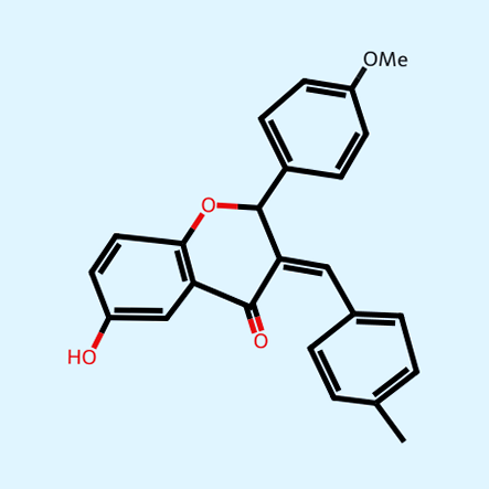 COc1ccc(C2Oc3ccc(O)cc3C(=O)C2=Cc2ccc(C)cc2)cc1